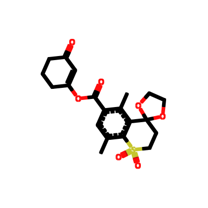 Cc1cc(C(=O)OC2=CC(=O)CCC2)c(C)c2c1S(=O)(=O)CCC21OCCO1